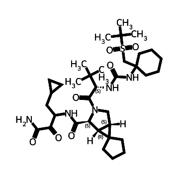 CC(C)(C)[C@H](NC(=O)NC1(CS(=O)(=O)C(C)(C)C)CCCCC1)C(=O)N1C[C@H]2[C@@H]([C@H]1C(=O)NC(CC1CC1)C(=O)C(N)=O)C21CCCC1